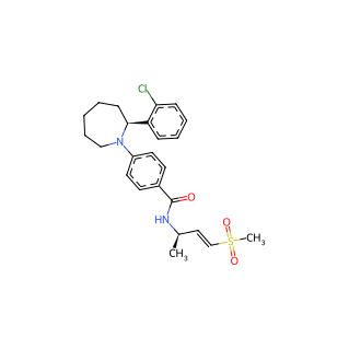 C[C@H](/C=C/S(C)(=O)=O)NC(=O)c1ccc(N2CCCCC[C@H]2c2ccccc2Cl)cc1